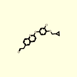 O=CCc1ccc2nc(Oc3ccc(OCC4CC4)c(Cl)c3)ccc2c1